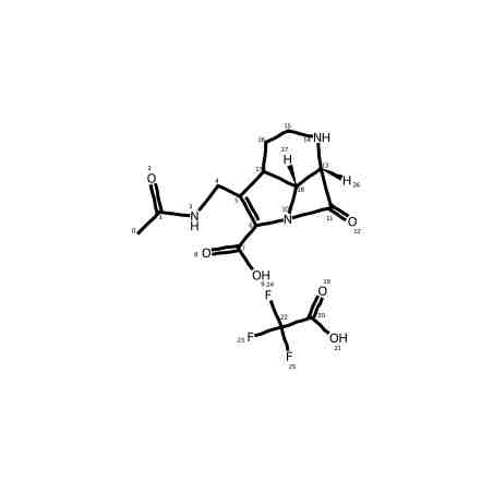 CC(=O)NCC1=C(C(=O)O)N2C(=O)[C@H]3NCCC1[C@H]32.O=C(O)C(F)(F)F